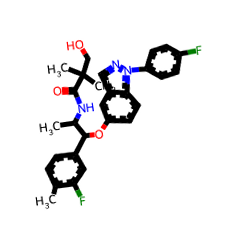 Cc1ccc(C(Oc2ccc3c(cnn3-c3ccc(F)cc3)c2)C(C)NC(=O)C(C)(C)CO)cc1F